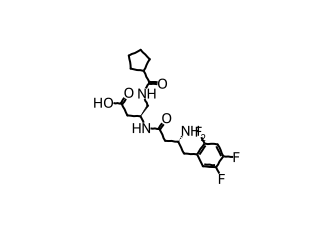 N[C@@H](CC(=O)N[C@H](CNC(=O)C1CCCC1)CC(=O)O)Cc1cc(F)c(F)cc1F